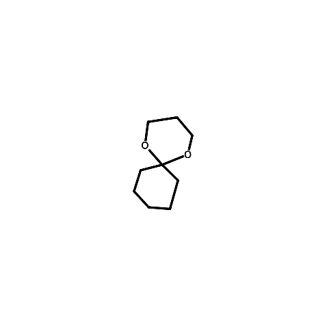 C1CCC2(CC1)OCCCO2